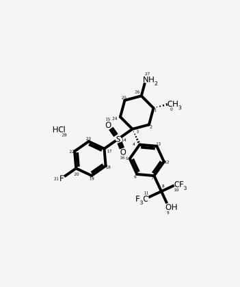 C[C@@H]1C[C@@](c2ccc(C(O)(C(F)(F)F)C(F)(F)F)cc2)(S(=O)(=O)c2ccc(F)cc2)CCC1N.Cl